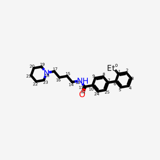 CCc1ccccc1-c1ccc(C(=O)NCCCCN2CCCCC2)cc1